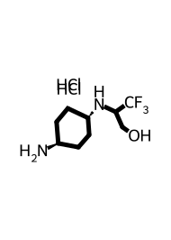 Cl.Cl.N[C@H]1CC[C@H](NC(CO)C(F)(F)F)CC1